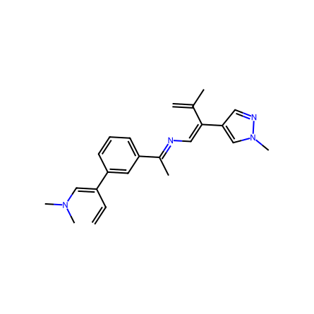 C=C/C(=C\N(C)C)c1cccc(/C(C)=N/C=C(\C(=C)C)c2cnn(C)c2)c1